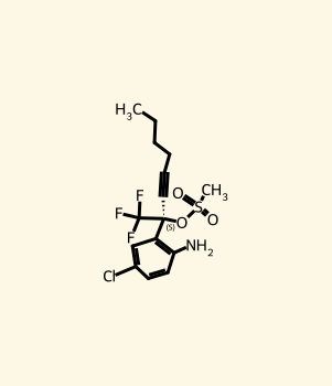 CCCCC#C[C@](OS(C)(=O)=O)(c1cc(Cl)ccc1N)C(F)(F)F